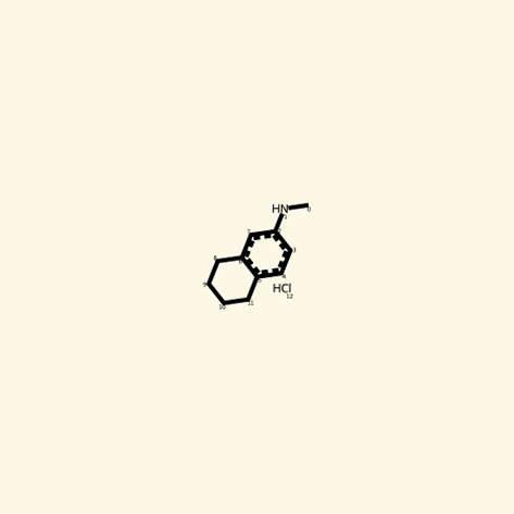 CNc1ccc2c(c1)CCCC2.Cl